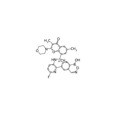 Cc1cc([C@@H](C)Nc2ccc(F)nc2-c2ccc3c(c2)C=NOB3O)c2oc(N3CCOCC3)c(C)c(=O)c2c1